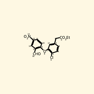 CCOC(=O)Cc1ccc(Cl)c(Oc2ccc([N+](=O)[O-])cc2C=O)c1